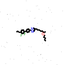 C=CCc1ccc(-c2ccc(-c3ncc(C=CCCCC(C)OCCCCC)cn3)cc2)c(F)c1F